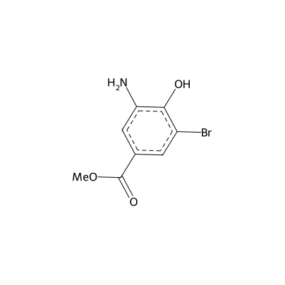 COC(=O)c1cc(N)c(O)c(Br)c1